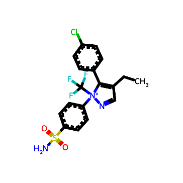 CCC1=C(c2ccc(Cl)cc2)[N+](c2ccc(S(N)(=O)=O)cc2)(C(F)(F)F)N=C1